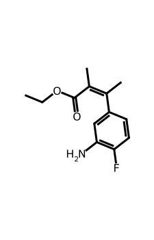 CCOC(=O)C(C)=C(C)c1ccc(F)c(N)c1